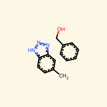 Cc1ccc2[nH]nnc2c1.OCc1ccccc1